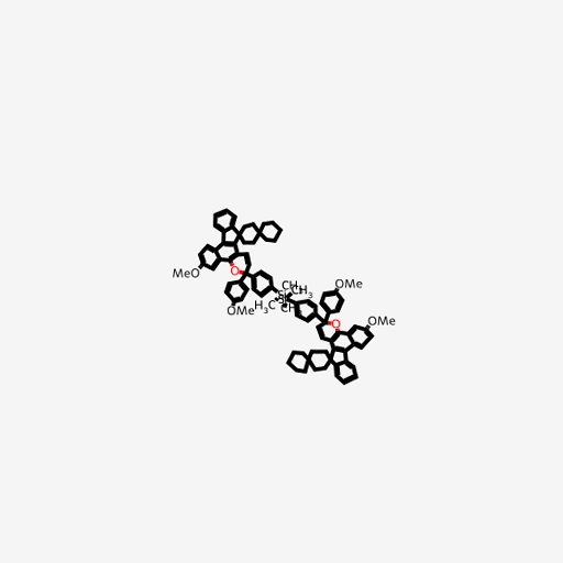 COc1ccc(C2(c3ccc([Si](C)(C)[Si](C)(C)c4ccc(C5(c6ccc(OC)cc6)C=Cc6c7c(c8ccc(OC)cc8c6O5)-c5ccccc5C75CCC6(CCCCC6)CC5)cc4)cc3)C=Cc3c4c(c5ccc(OC)cc5c3O2)-c2ccccc2C42CCC3(CCCCC3)CC2)cc1